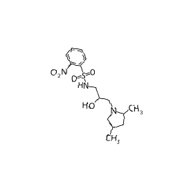 CC1CC(C)N(CC(O)CNS(=O)(=O)c2ccccc2[N+](=O)[O-])C1